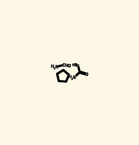 C1CCCC1.CCCCC(N)=O.NC=O